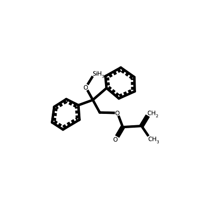 C=C(C)C(=O)OCC(O[SiH3])(c1ccccc1)c1ccccc1